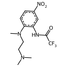 CN(C)CCN(C)c1ccc([N+](=O)[O-])cc1NC(=O)C(F)(F)F